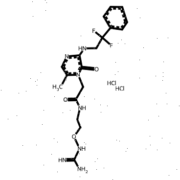 Cc1cnc(NCC(F)(F)c2ccccc2)c(=O)n1CC(=O)NCCONC(=N)N.Cl.Cl